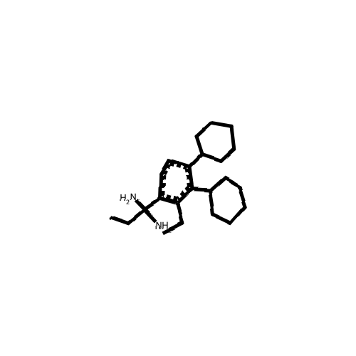 CCc1c(C(N)(N)CC)ccc(C2CCCCC2)c1C1CCCCC1